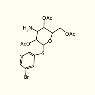 CC(=O)OCC1OC(Sc2cncc(Br)c2)C(OC(C)=O)C(N)C1OC(C)=O